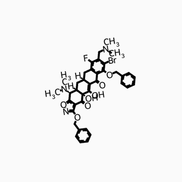 CN(C)Cc1c(F)c2c(c(OCc3ccccc3)c1Br)C(=O)C1=C(O)[C@]3(O)C(=O)c4c(OCc5ccccc5)noc4[C@@H](N(C)C)[C@@H]3C[C@@H]1C2